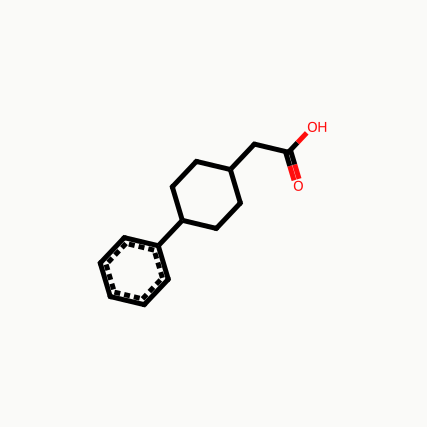 O=C(O)CC1CCC(c2ccccc2)CC1